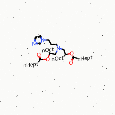 CCCCCCCCC(CN(CCCn1ccnc1)CC(CCCCCCCC)OC(=O)CCCCCCC)OC(=O)CCCCCCC